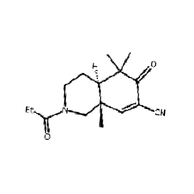 CCC(=O)N1CC[C@H]2C(C)(C)C(=O)C(C#N)=C[C@]2(C)C1